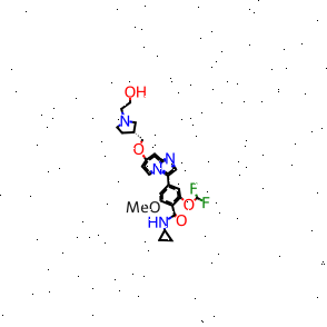 COc1cc(-c2cnc3cc(OC[C@@H]4CCN(CCO)C4)ccn23)cc(OC(F)F)c1C(=O)NC1CC1